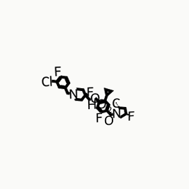 O=C(O)[C@@H]1C[C@@H](F)CN1C(=O)c1cc(C2CC2)c(OCC2(F)CCN(Cc3ccc(F)c(Cl)c3)CC2)cc1F